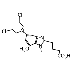 Cn1c(CCCC(=O)O)nc2cc(N(CCCl)CCCl)ccc21.O